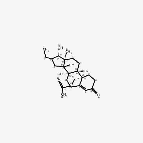 CCC1C[C@H]2[C@@H]3CCC4=CC(=O)CC[C@]4(CSC(C)=O)[C@H]3CC[C@]2(C)[C@H]1O